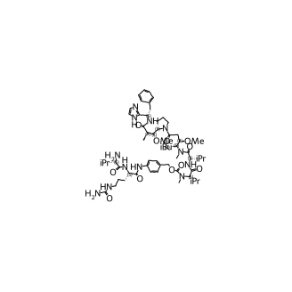 CC[C@H](C)[C@@H]([C@@H](CC(=O)N1CCC[C@H]1[C@H](OC)[C@@H](C)C(=O)N[C@@H](Cc1ccccc1)c1ncc[nH]1)OC)N(C)C(=O)[C@@H](NC(=O)[C@H](C(C)C)N(C)C(=O)OCc1ccc(NC(=O)[C@H](CCCNC(N)=O)NC(=O)[C@@H](N)C(C)C)cc1)C(C)C